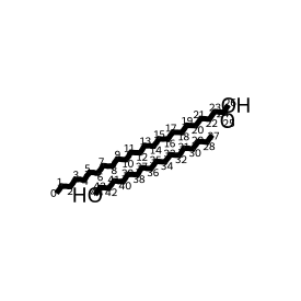 CCCCCCCCCCCCCCCCCCCCCCCCC(=O)O.CCCCCCCCCCCCCCCCCO